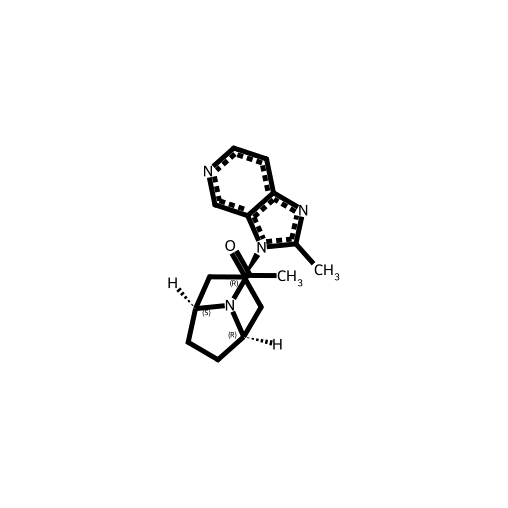 CC(=O)N1[C@@H]2CC[C@H]1C[C@@H](n1c(C)nc3ccncc31)C2